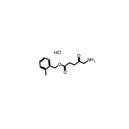 Cc1ccccc1COC(=O)CCC(=O)CN.Cl